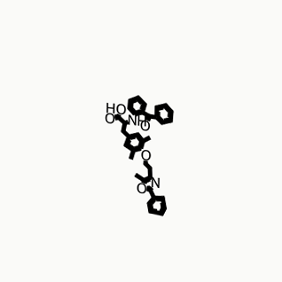 Cc1cc(CC(Nc2ccccc2C(=O)c2ccccc2)C(=O)O)cc(C)c1OCCc1nc(-c2ccccc2)oc1C